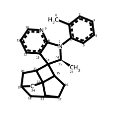 Cc1ccccc1N1c2ncccc2C2(C3CC4CC5CC2C3(C4)C5)[C@@H]1C